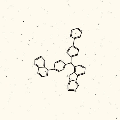 c1ccc(-c2ccc(N(c3ccc(-c4cccc5ccccc45)cc3)c3cccc4c3oc3ccncc34)cc2)cc1